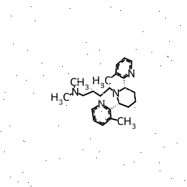 Cc1cccnc1[C@H]1CCC[C@@H](c2ncccc2C)N1CCCCN(C)C